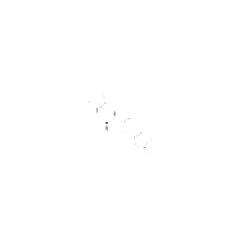 C[C@H]1CCc2c1cc(C(=O)Nc1nnc(C(F)(F)F)s1)c(=O)n2C